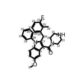 COc1ccc2c(c1)c(C(=O)N1CCNCC1)c(Cc1cccc(F)c1C)n2-c1ccccc1